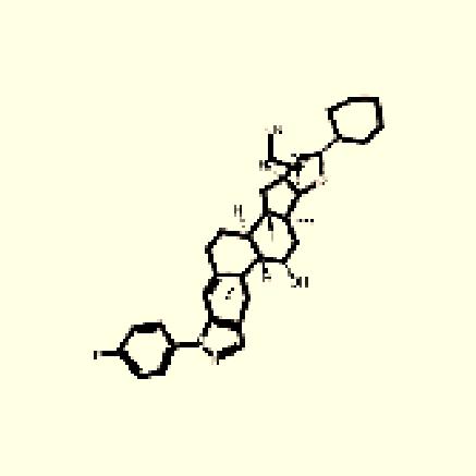 C[C@]12Cc3cnn(-c4ccc(F)cc4)c3C=C1CC[C@@H]1[C@@H]2[C@@H](O)C[C@@]2(C)[C@H]1C[C@H]1O[C@@H](C3CCCCC3)O[C@]12C(=S)CC#N